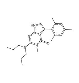 CCCN(CCC)c1nc2[nH]cc(-c3c(C)cc(C)cc3C)c2c(=O)n1C